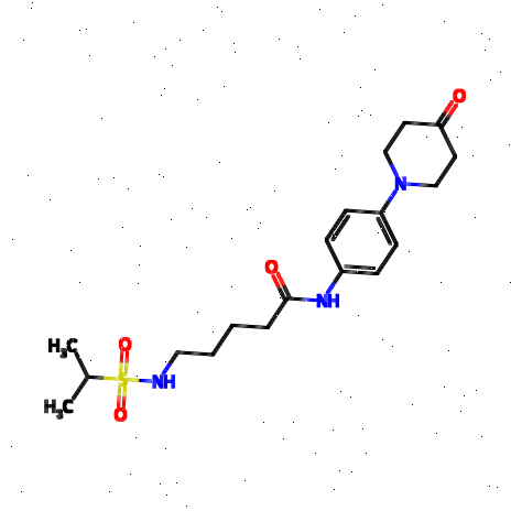 CC(C)S(=O)(=O)NCCCCC(=O)Nc1ccc(N2CCC(=O)CC2)cc1